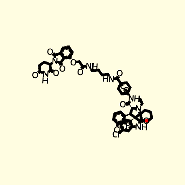 CCN1[C@@H](C(=O)NC23CCC(C(=O)NCCCCNC(=O)COc4cccc5c4C(=O)N(C4CCC(=O)NC4=O)C5=O)(CC2)CC3)[C@H](c2cccc(Cl)c2F)[C@]2(C(=O)Nc3cc(Cl)ccc32)C12CCCCC2